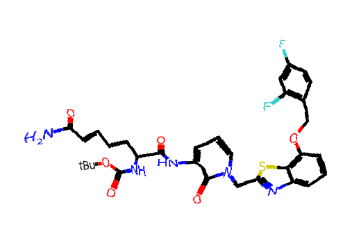 CC(C)(C)OC(=O)NC(CCC=CC(N)=O)C(=O)Nc1cccn(Cc2nc3cccc(OCc4ccc(F)cc4F)c3s2)c1=O